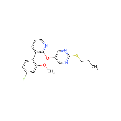 CCCSc1ncc(Oc2ncccc2-c2ccc(F)cc2OC)cn1